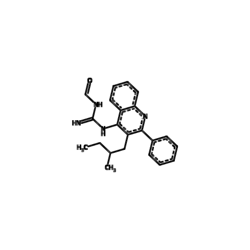 CCC(C)Cc1c(-c2ccccc2)nc2ccccc2c1NC(=N)NC=O